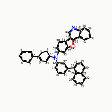 C1=C(c2ccccc2)CCC(N(c2cccc(-c3cccc4ccccc34)c2)c2ccc3c(c2)oc2c4ccccc4ncc32)=C1